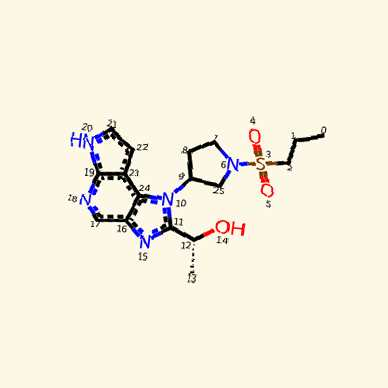 CCCS(=O)(=O)N1CCC(n2c([C@@H](C)O)nc3cnc4[nH]ccc4c32)C1